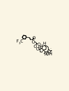 C=C[C@]1(C)CC[C@@H]2CC[C@]3(CCC(=O)[C@H]3[C@]2(C)COC(=O)COC(=O)/C=C/c2cccc(C(F)(F)F)c2)[C@@H](C)[C@@H]1O